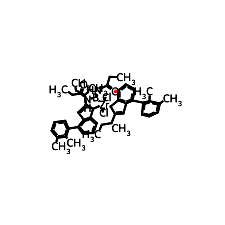 CCC(=O)N[B](NC(=O)CC)[Zr]([Cl])([Cl])([CH]1C(C(C)CC)=Cc2c(-c3cccc(C)c3C)cccc21)[CH]1C(C(C)CC)=Cc2c(-c3cccc(C)c3C)cccc21